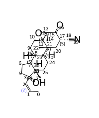 C/C=C\[C@]1(O)CC[C@H]2[C@@H]3CC[C@@]45O[C@]4(C)C(=O)[C@H](C#N)C[C@]5(C)[C@H]3CC[C@@]21C